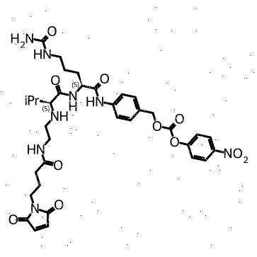 CC(C)[C@H](NCCNC(=O)CCCN1C(=O)C=CC1=O)C(=O)N[C@@H](CCCNC(N)=O)C(=O)Nc1ccc(COC(=O)Oc2ccc([N+](=O)[O-])cc2)cc1